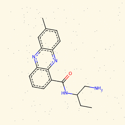 CCC(CN)NC(=O)c1cccc2nc3cc(C)ccc3nc12